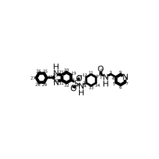 O=C(NCc1cccnc1)[C@H]1CC[C@H](NS(=O)(=O)c2ccc3[nH]c(-c4ccccc4)nc3c2)CC1